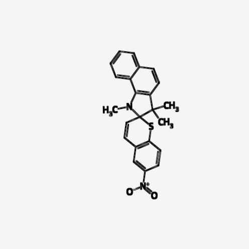 CN1c2c(ccc3ccccc23)C(C)(C)C12C=Cc1cc([N+](=O)[O-])ccc1S2